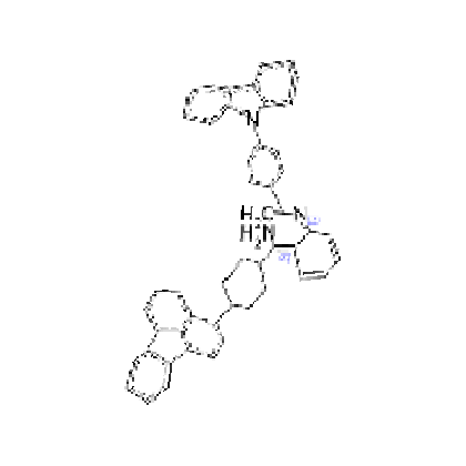 C=C(/N=C1/C=CC=C/C1=C(/N)C1CCC(c2ccc3c4c(cccc24)-c2ccccc2-3)CC1)c1ccc(-n2c3ccccc3c3ccccc32)cc1